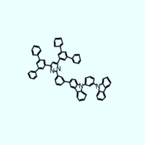 c1ccc(-c2cc(-c3ccccc3)cc(-c3cc(-c4cc(-c5ccccc5)cc(-c5ccccc5)c4)nc(-c4cccc(-c5ccc6c(c5)c5ccccc5n6-c5cccc(-n6c7ccccc7c7ccccc76)c5)c4)n3)c2)cc1